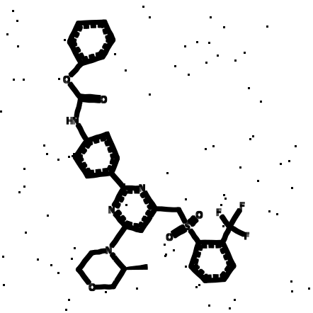 C[C@H]1COCCN1c1cc(CS(=O)(=O)c2ccccc2C(F)(F)F)nc(-c2ccc(NC(=O)Oc3ccccc3)cc2)n1